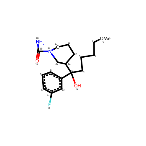 COCCCCC(O)(c1cccc(F)c1)C1CCCN(C(N)=O)C1